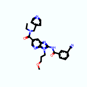 CCN(Cc1ccncc1)C(=O)c1cnc2c(c1)nc(NC(=O)c1cccc(C#N)c1)n2CCCOC